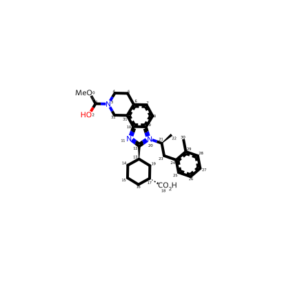 COC(O)N1CCc2ccc3c(nc([C@@H]4CCC[C@@H](C(=O)O)C4)n3[C@@H](C)Cc3ccccc3C)c2C1